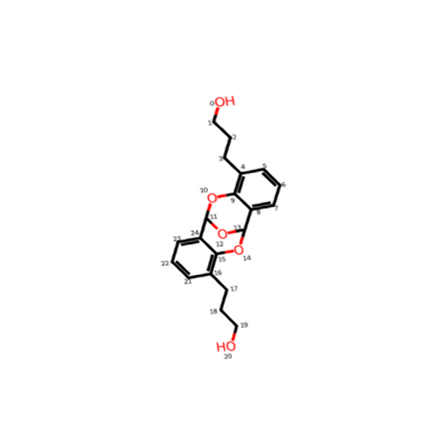 OCCCc1cccc2c1OC1OC2Oc2c(CCCO)cccc21